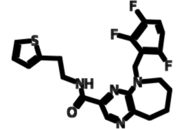 O=C(NCCc1cccs1)c1cnc2c(n1)N(Cc1c(F)ccc(F)c1F)CCCC2